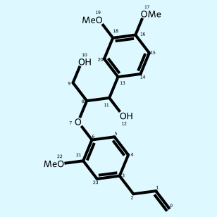 C=CCc1ccc(OC(CO)C(O)c2ccc(OC)c(OC)c2)c(OC)c1